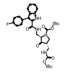 CC(C)(C)OC(=O)NC[C@H]1CN(C(=O)OC(C)(C)C)[C@H](CNC(=O)c2[nH]c3ccccc3c2-c2ccc(F)cc2)C1=O